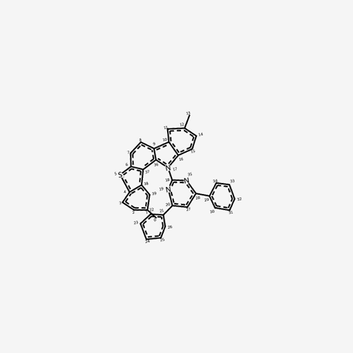 Cc1ccc2sc3ccc4c5cc(C)ccc5n(-c5nc(-c6ccccc6)cc(-c6ccccc6)n5)c4c3c2c1